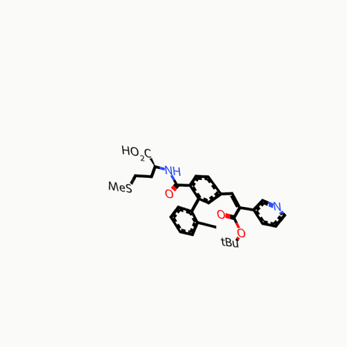 CSCC[C@H](NC(=O)c1ccc(C=C(C(=O)OC(C)(C)C)c2cccnc2)cc1-c1ccccc1C)C(=O)O